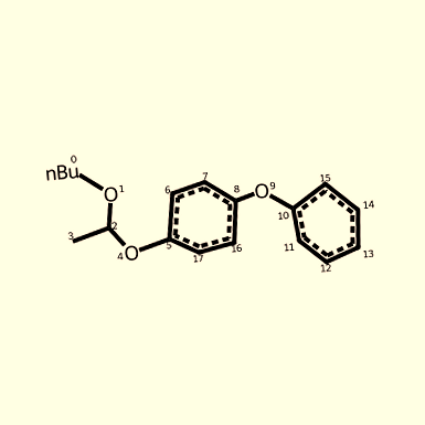 CCCCOC(C)Oc1ccc(Oc2ccccc2)cc1